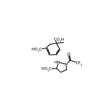 CC1(C(=O)O)C=CC=C(C(=O)O)C1.O=C(O)C1CCN(C(=O)C(F)(F)F)N1